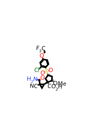 CO[C@@H]1C[C@H](S(=O)(=O)c2ccc(OCC(F)(F)F)cc2Cl)C[C@@]1(C(=O)O)C1CC1(C#N)C(N)=O